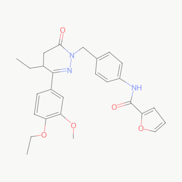 CCOc1ccc(C2=NN(Cc3ccc(NC(=O)c4ccco4)cc3)C(=O)CC2CC)cc1OC